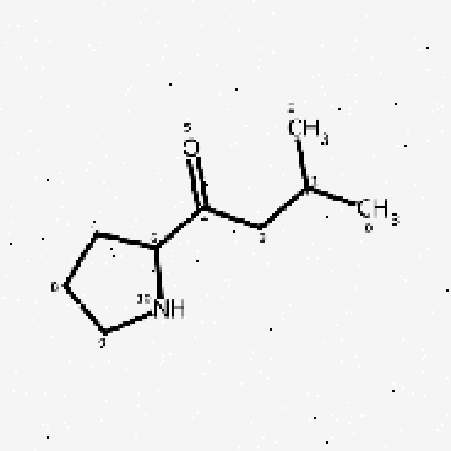 C[C](C)CC(=O)C1CCCN1